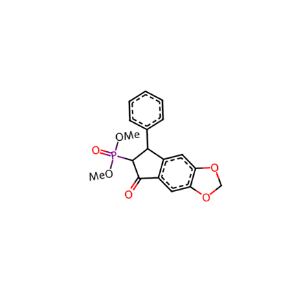 COP(=O)(OC)C1C(=O)c2cc3c(cc2C1c1ccccc1)OCO3